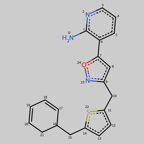 Nc1ncccc1-c1cc(Cc2ccc(CC3C=CC=CC3)s2)no1